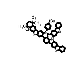 CC(C)(C)c1ccc(N2B3c4cc5c(cc4-n4c6cc7c(cc6c6ccc(c3c64)-c3cc4sc6cc8c(cc6c4cc32)C(C)(C)CCC8(C)C)sc2ccccc27)sc2ccccc25)cc1